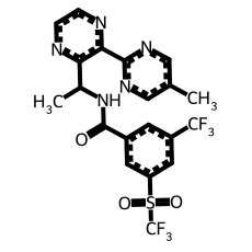 Cc1cnc(-c2nccnc2C(C)NC(=O)c2cc(C(F)(F)F)cc(S(=O)(=O)C(F)(F)F)c2)nc1